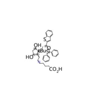 CC(C)(C)[Si](O[C@H](CC[C@@H]1[C@@H](C/C=C\CCCC(=O)O)[C@@H](O)C[C@H]1O)c1cc2ccccc2s1)(c1ccccc1)c1ccccc1